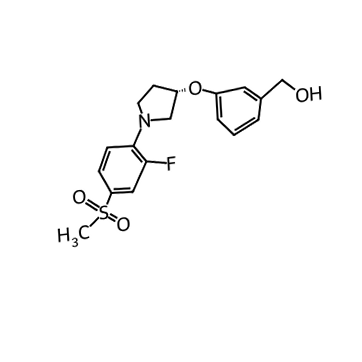 CS(=O)(=O)c1ccc(N2CC[C@H](Oc3cccc(CO)c3)C2)c(F)c1